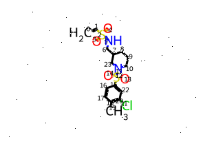 C=CS(=O)(=O)NCC1CCCN(S(=O)(=O)c2ccc(C)c(Cl)c2)C1